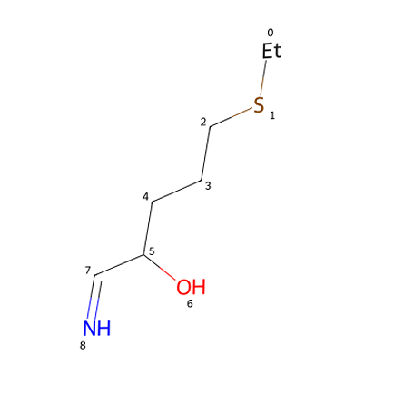 CCSCCCC(O)C=N